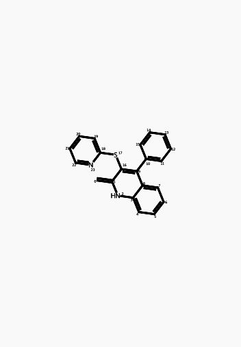 C=C1Nc2ccccc2C(c2ccccc2)=C1Sc1ccccn1